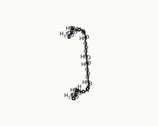 CO[C@H](C(=O)N1Cc2[nH]nc(NC(=O)c3ccc(CN4CCN(CCC(=O)NCCCOCCOCCOCCCNC(=O)CCCC(=O)NCCCOCCOCCOCCCNC(=O)CCN5CCN(Cc6ccc(C(=O)Nc7n[nH]c8c7CN(C(=O)[C@H](OC)c7ccccc7)C8)cc6)CC5)CC4)cc3)c2C1)c1ccccc1